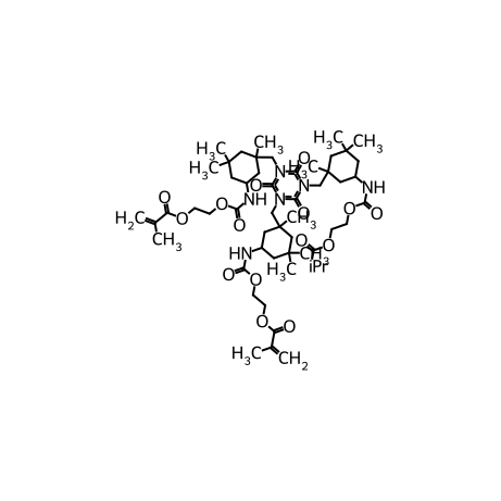 C=C(C)C(=O)OCCOC(=O)NC1CC(C)(C)CC(C)(Cn2c(=O)n(CC3(C)CC(NC(=O)OCCOC(=O)C(=C)C)CC(C)(C)C3)c(=O)n(CC3(C)CC(NC(=O)OCCOC(=O)C(C)C)CC(C)(C)C3)c2=O)C1